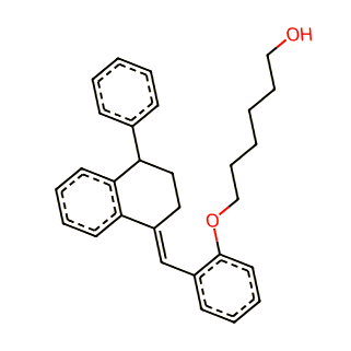 OCCCCCCOc1ccccc1/C=C1\CCC(c2ccccc2)c2ccccc21